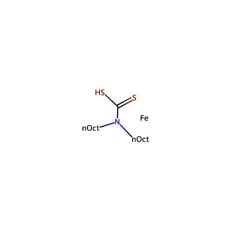 CCCCCCCCN(CCCCCCCC)C(=S)S.[Fe]